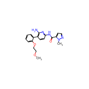 COCCOc1ccccc1-c1ccc(NC(=O)c2ccnn2C)nc1N